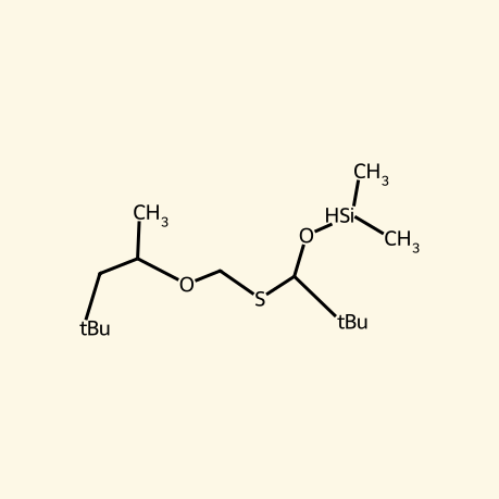 CC(CC(C)(C)C)OCSC(O[SiH](C)C)C(C)(C)C